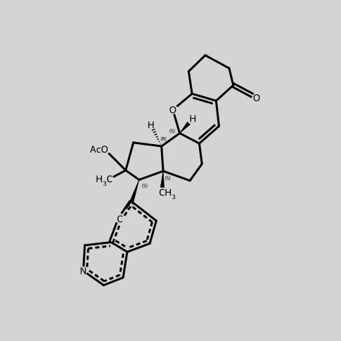 CC(=O)OC1(C)C[C@H]2[C@@H]3OC4=C(C=C3CC[C@]2(C)[C@H]1c1ccc2ccncc2c1)C(=O)CCC4